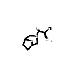 C=C(C)C(=O)N1CC2CCC(C1)O2